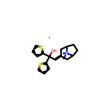 C[N+]1(C)C2CCC1CC(=CC(O)(c1cccs1)c1cccs1)C2.[I-]